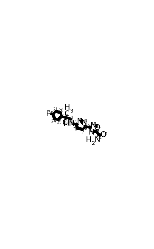 CC(C)(CNc1ccc(-c2noc(C(N)=O)n2)nn1)c1ccc(F)cc1